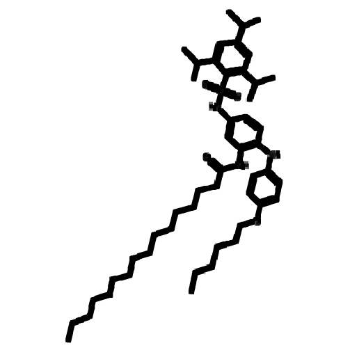 CCCCCCCCCCCCCCCC(=O)Nc1cc(NS(=O)(=O)c2c(C(C)C)cc(C(C)C)cc2C(C)C)ccc1Nc1ccc(OCCCCCC)cc1